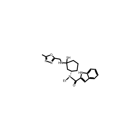 CCN(C(=O)c1cc2ccccc2[nH]1)[C@H]1CCCC(S)(NCc2nnc(C)o2)C1